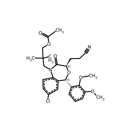 COc1cccc([C@H]2O[C@H](CCC#N)C(=O)N(CC(C)(C)COC(C)=O)c3ccc(Cl)cc32)c1OC